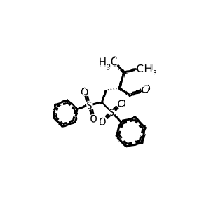 CC(C)[C@H](C=O)CC(S(=O)(=O)c1ccccc1)S(=O)(=O)c1ccccc1